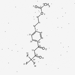 CC(=O)OCCCc1ccc(C(=O)CC(=O)C(F)(F)F)cc1